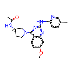 COc1ccc2c(N3CC[C@H](NC(C)=O)C3)nc(Nc3ccc(C)cn3)nc2c1